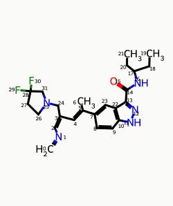 C=N/C=C(\C=C(/C)c1ccc2[nH]nc(C(=O)NC(CC)CC)c2c1)CN1CCC(F)(F)C1